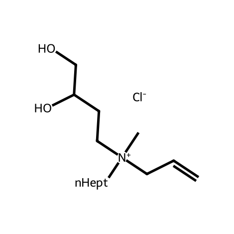 C=CC[N+](C)(CCCCCCC)CCC(O)CO.[Cl-]